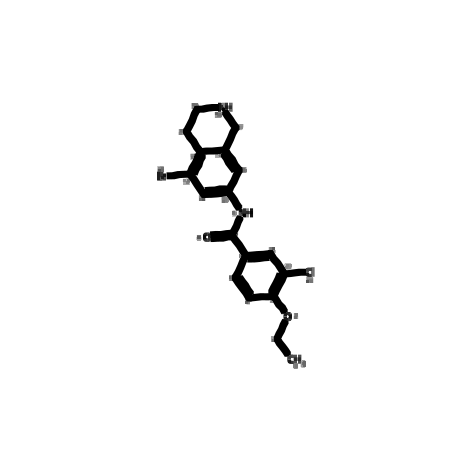 CCOc1ccc(C(=O)Nc2cc(Br)c3c(c2)CNCC3)cc1Cl